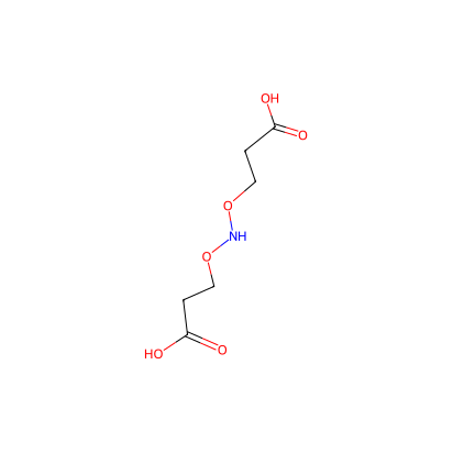 O=C(O)CCONOCCC(=O)O